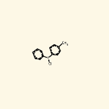 Cc1ccc(P(Cl)c2ccccc2)cc1